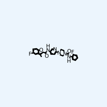 Cc1c(C(=O)Nc2ccc(N3CCN(C(=O)Nc4ccccc4F)CC3)nc2)oc2ccc(F)cc12